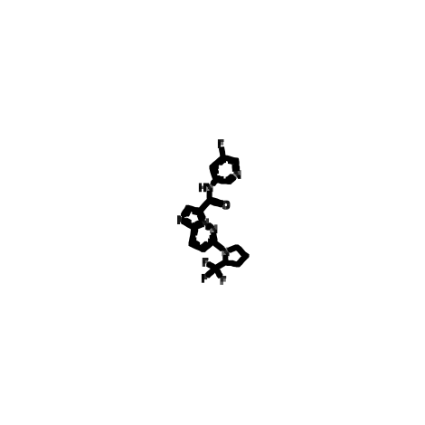 O=C(Nc1cncc(F)c1)c1cnc2ccc(N3CCCC3C(F)(F)F)nn12